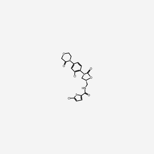 O=C(NC[C@H]1CN(c2ccc(N3CCOCC3=O)cc2Cl)C(=O)O1)c1ccc(Cl)s1